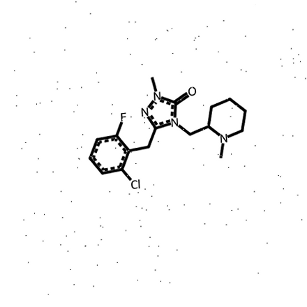 CN1CCCCC1Cn1c(Cc2c(F)cccc2Cl)nn(C)c1=O